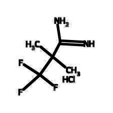 CC(C)(C(=N)N)C(F)(F)F.Cl